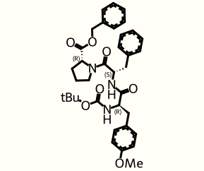 COc1ccc(C[C@@H](NC(=O)OC(C)(C)C)C(=O)N[C@@H](Cc2ccccc2)C(=O)N2CCC[C@@H]2C(=O)OCc2ccccc2)cc1